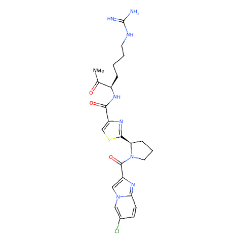 CNC(=O)[C@@H](CCCCNC(=N)N)NC(=O)c1csc([C@H]2CCCN2C(=O)c2cn3cc(Cl)ccc3n2)n1